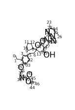 CCc1cc(CCC2(C3CCCC3)CC(O)=C(Cc3nc4nc(C)cc(C)n4n3)C(=O)O2)ccc1OCCN(C)C(=O)OC(C)(C)C